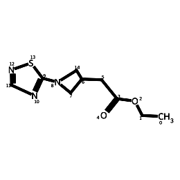 CCOC(=O)CC1CN(c2ncns2)C1